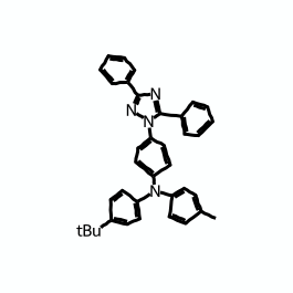 Cc1ccc(N(c2ccc(-n3nc(-c4ccccc4)nc3-c3ccccc3)cc2)c2ccc(C(C)(C)C)cc2)cc1